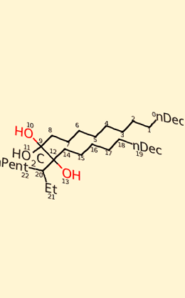 CCCCCCCCCCCCCCCCCCC(O)(C(=O)O)C(O)(CCCCCCCCCCCCCCC)C(CC)CCCCC